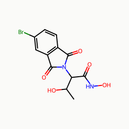 CC(O)C(C(=O)NO)N1C(=O)c2ccc(Br)cc2C1=O